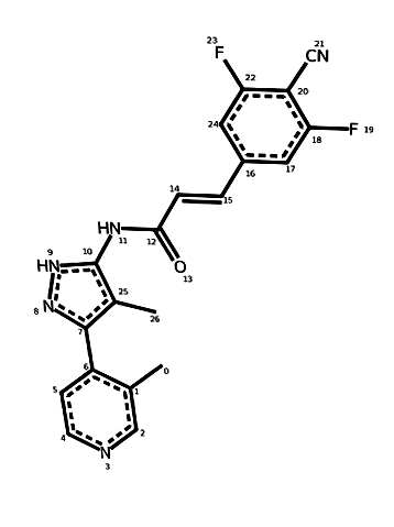 Cc1cnccc1-c1n[nH]c(NC(=O)C=Cc2cc(F)c(C#N)c(F)c2)c1C